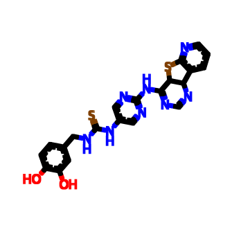 Oc1ccc(CNC(=S)Nc2cnc(NC3=NC=NC4c5cccnc5SC34)nc2)cc1O